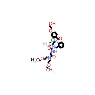 CCOCCN(CCOCC)C(=O)CNC(=O)N1Cc2ccccc2N(C(=O)c2ccc(OCCO)cc2Cl)C[C@H]1C